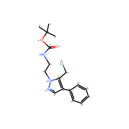 CC(C)(C)OC(=O)NCCn1ncc(-c2ccccc2)c1CCl